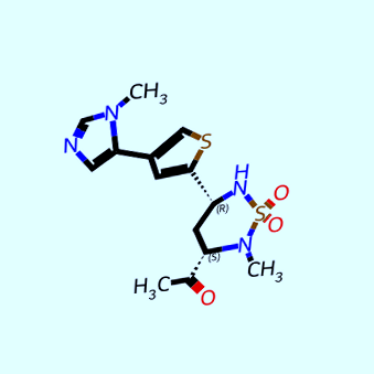 CC(=O)[C@@H]1C[C@H](c2cc(-c3cncn3C)cs2)NS(=O)(=O)N1C